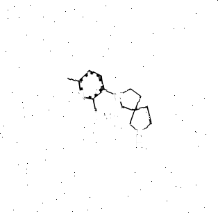 COc1nc(C)ccc1N1CCC2(CCNC2)C1